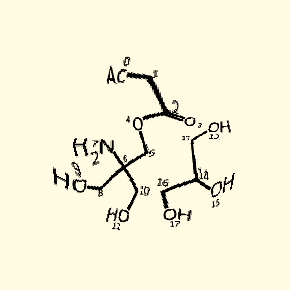 CC(=O)CC(=O)OCC(N)(CO)CO.OCC(O)CO